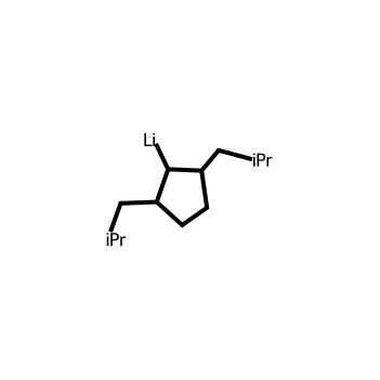 [Li][CH]1C(CC(C)C)CCC1CC(C)C